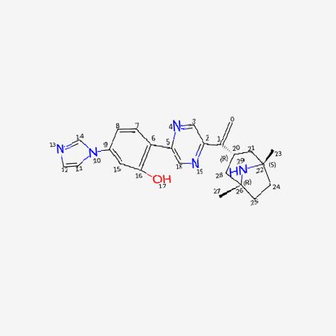 C=C(c1cnc(-c2ccc(-n3ccnc3)cc2O)cn1)[C@@H]1C[C@]2(C)CC[C@](C)(C1)N2